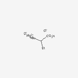 CCCCC(CC)C(=O)O.[Cl-].[Cl-].[Mg+2]